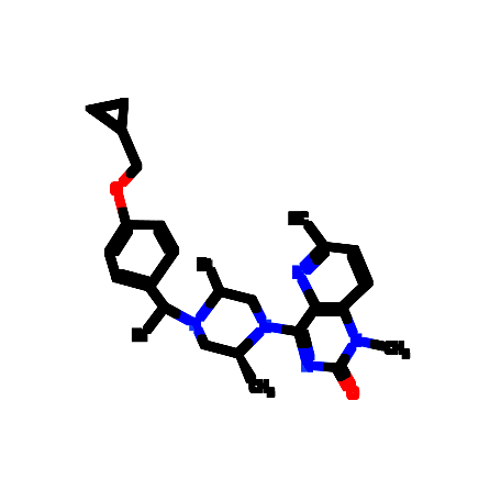 CCC1CN(c2nc(=O)n(C)c3ccc(C#N)nc23)[C@@H](C)CN1C(CC)c1ccc(OCC2CC2)cc1